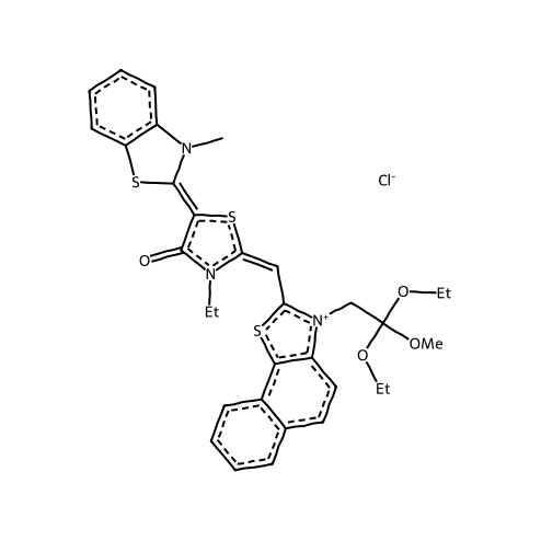 CCOC(C[n+]1c(C=c2sc(=C3Sc4ccccc4N3C)c(=O)n2CC)sc2c3ccccc3ccc21)(OC)OCC.[Cl-]